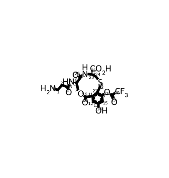 NCCC(=O)N[C@H]1COC(=O)c2cc(O)cc(OC(=O)C(F)(F)F)c2CSC[C@@H](C(=O)O)NC1=O